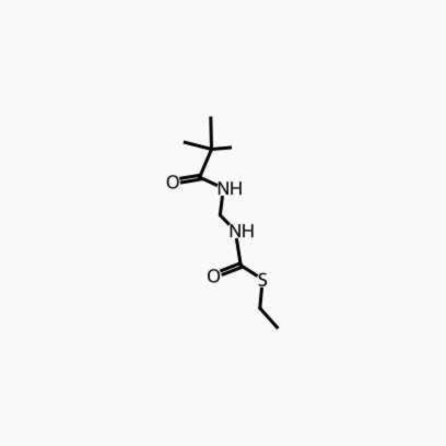 CCSC(=O)NCNC(=O)C(C)(C)C